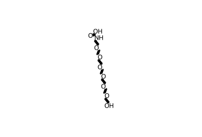 O=C(O)NCCOCCOCCOCCOCCOCCOCCO